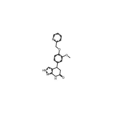 COc1cc(C2CC(=O)Nc3n[nH]cc32)ccc1OCc1ccccn1